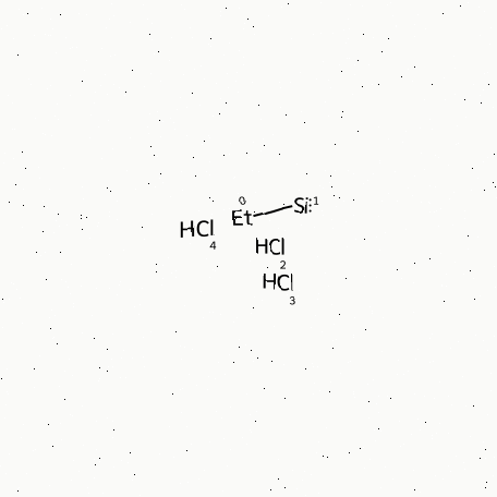 CC[Si].Cl.Cl.Cl